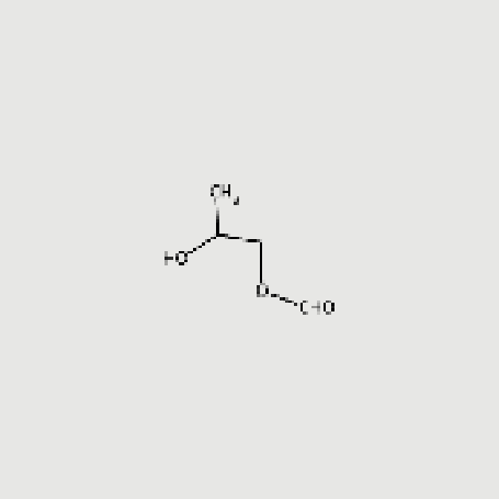 CC(O)COC=O